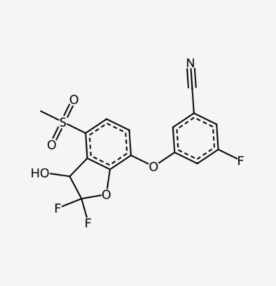 CS(=O)(=O)c1ccc(Oc2cc(F)cc(C#N)c2)c2c1C(O)C(F)(F)O2